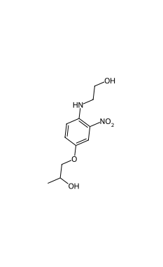 CC(O)COc1ccc(NCCO)c([N+](=O)[O-])c1